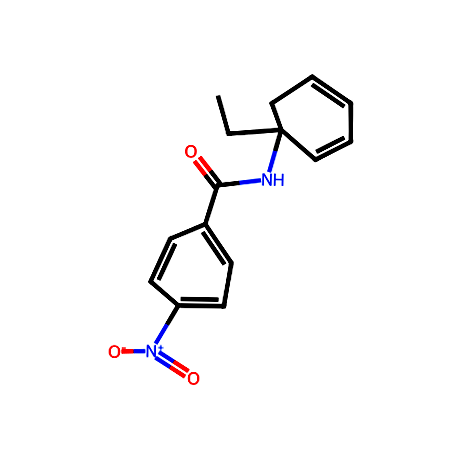 CCC1(NC(=O)c2ccc([N+](=O)[O-])cc2)C=CC=CC1